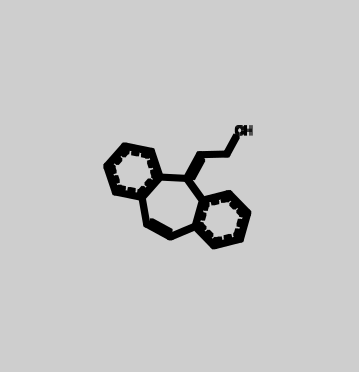 OCC=C1c2ccccc2C=Cc2ccccc21